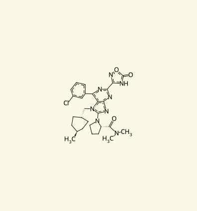 CN(C)C(=O)[C@@H]1CCCN1c1nc2nc(-c3noc(=O)[nH]3)nc(-c3cccc(Cl)c3)c2n1C[C@H]1CC[C@H](C)CC1